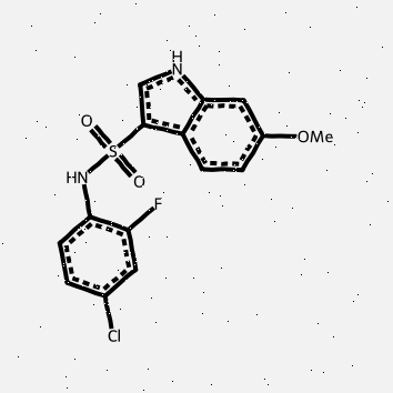 COc1ccc2c(S(=O)(=O)Nc3ccc(Cl)cc3F)c[nH]c2c1